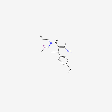 C=CCN(CPC)C(=C)/C(=C(\C)N)C(C)C1=CCC(CC)C=C1